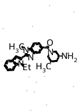 CCn1c(-c2nc3cc(C(=O)N4C[C@H](C)C[C@H](N)C4)ccc3n2C)cc2ccccc21